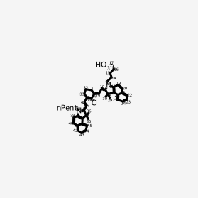 CCCCC[N+]1=C(/C=C/C2=C(Cl)C(=C/C=C3/N(CCCCS(=O)(=O)O)c4ccc5ccccc5c4C3(C)C)/CCC2)C(C)(C)c2c1ccc1ccccc21